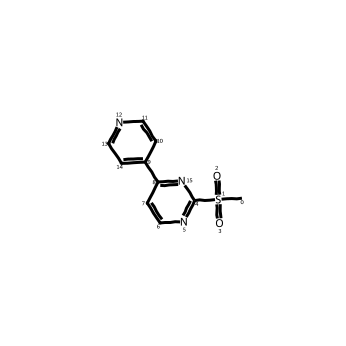 CS(=O)(=O)c1nccc(-c2ccncc2)n1